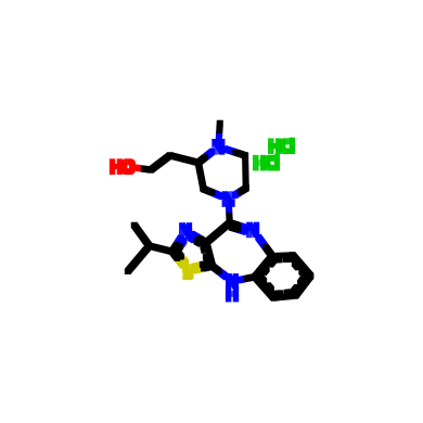 CC(C)c1nc2c(s1)Nc1ccccc1N=C2N1CCN(C)C(CCO)C1.Cl.Cl